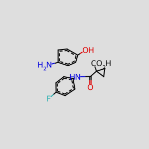 Nc1ccc(O)cc1.O=C(O)C1(C(=O)Nc2ccc(F)cc2)CC1